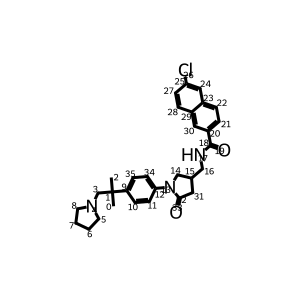 CC(C)(CN1CCCC1)c1ccc(N2CC(CNC(=O)c3ccc4cc(Cl)ccc4c3)CC2=O)cc1